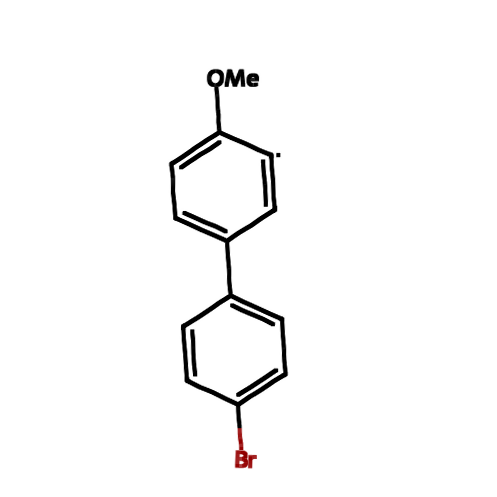 COc1[c]cc(-c2ccc(Br)cc2)cc1